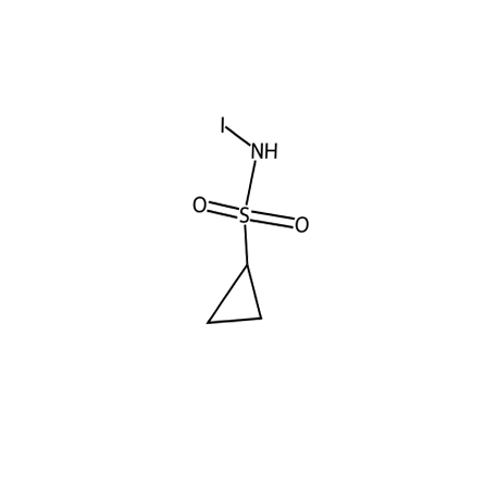 O=S(=O)(NI)C1CC1